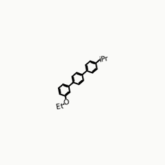 CCOc1cccc(-c2ccc(-c3ccc(C(C)C)cc3)cc2)c1